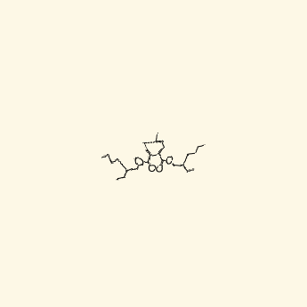 CCCCC(CC)COC(=O)C1=CC=C(C)CC=C1C(=O)OCC(CC)CCCC